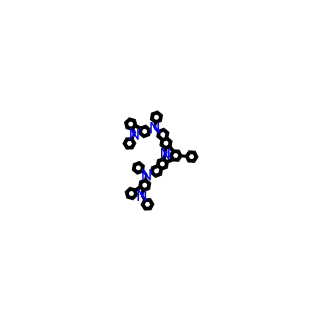 c1ccc(-c2cc3c4cc5ccc(N(c6ccccc6)c6ccc7c(c6)c6ccccc6n7-c6ccccc6)cc5cc4n4c5cc6cc(N(c7ccccc7)c7ccc8c(c7)c7ccccc7n8-c7ccccc7)ccc6cc5c(c2)c34)cc1